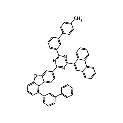 Cc1ccc(-c2cccc(-c3nc(-c4ccc5c(c4)oc4cccc(-c6cccc(-c7ccccc7)c6)c45)nc(-c4cc5ccccc5c5ccccc45)n3)c2)cc1